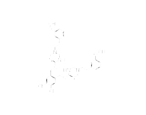 COc1cccc(CCN2CN=C(SCc3cc(Cl)c(Cl)cc3CSC3=NCN(CCc4cccc(OC)c4)CN3)NC2)c1